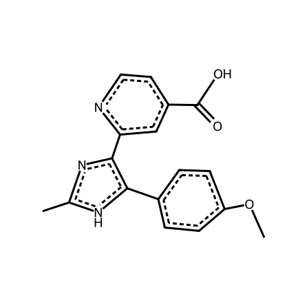 COc1ccc(-c2[nH]c(C)nc2-c2cc(C(=O)O)ccn2)cc1